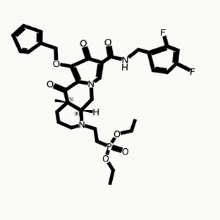 CCOP(=O)(CCN1CCC[C@]2(C)C(=O)c3c(OCc4ccccc4)c(=O)c(C(=O)NCc4ccc(F)cc4F)cn3C[C@H]12)OCC